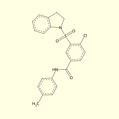 Cc1ccc(NC(=O)c2ccc(Cl)c(S(=O)(=O)N3CCc4ccccc43)c2)cc1